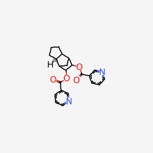 O=C(OC1C2CC(C1OC(=O)c1cccnc1)[C@H]1CCCC21)c1cccnc1